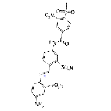 CS(=O)(=O)c1ccc(C(=O)Nc2ccc(/C=C/c3ccc(N)cc3S(=O)(=O)O)c(S(=O)(=O)O)c2)cc1[N+](=O)[O-]